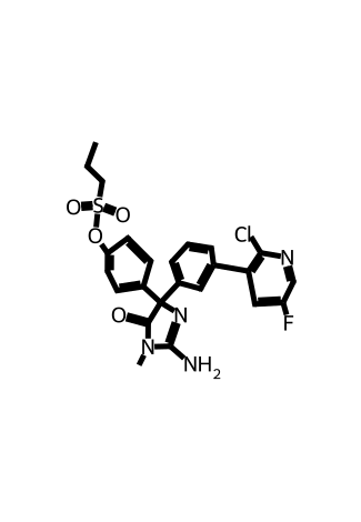 CCCS(=O)(=O)Oc1ccc(C2(c3cccc(-c4cc(F)cnc4Cl)c3)N=C(N)N(C)C2=O)cc1